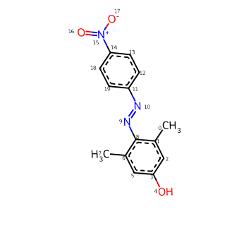 Cc1cc(O)cc(C)c1/N=N/c1ccc([N+](=O)[O-])cc1